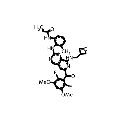 C=CC(=O)Nc1cccc(C)c1Nc1ncc2cc(C(=O)c3c(F)c(OC)cc(OC)c3F)nc(NCC3COC3)c2n1